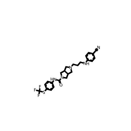 N#Cc1ccc(NCCCN2CC3CN(C(=O)Nc4ccc(SC(F)(F)F)cc4)CC3C2)cc1